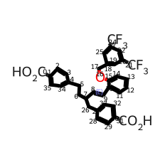 O=C(O)c1ccc(CCC(/C=C/c2ccccc2OCc2cc(C(F)(F)F)cc(C(F)(F)F)c2)Cc2ccc(C(=O)O)cc2)cc1